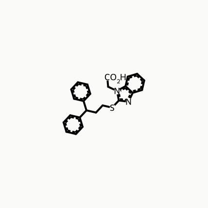 O=C(O)Cn1c(SCCC(c2ccccc2)c2ccccc2)nc2ccccc21